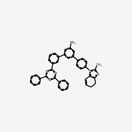 Cc1nc2c(n1-c1ccc(-c3cc(N)cc(-c4cccc(-c5nc(-c6ccccc6)nc(-c6ccccc6)n5)c4)c3)cc1)C=CCC2